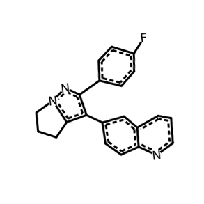 Fc1ccc(-c2nn3c(c2-c2ccc4ncccc4c2)CCC3)cc1